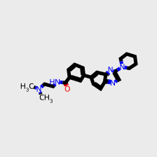 CN(C)CCNC(=O)c1cccc(-c2ccc3ncc(N4CCCCC4)nc3c2)c1